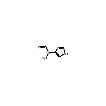 NN(C=O)c1c[nH]cn1